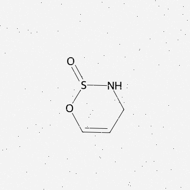 O=S1NCC=CO1